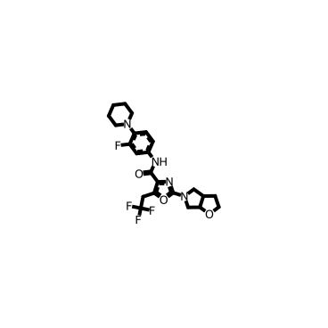 O=C(Nc1ccc(N2CCCCC2)c(F)c1)c1nc(N2CC3CCOC3C2)oc1CC(F)(F)F